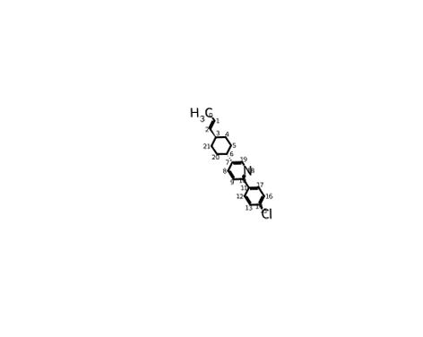 C/C=C/[C@H]1CC[C@H](c2ccc(-c3ccc(Cl)cc3)nc2)CC1